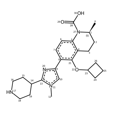 C[C@H]1CCc2c(ccc(-c3cn(C)c(C4CCNCC4)n3)c2OC2CCC2)N1C(=O)O